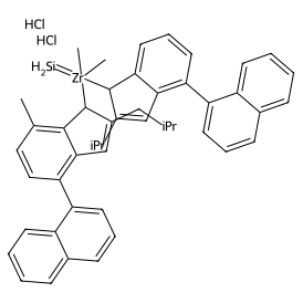 Cc1ccc(-c2cccc3ccccc23)c2c1[CH]([Zr]([CH3])([CH3])(=[SiH2])[CH]1C(C(C)C)=Cc3c(-c4cccc5ccccc45)cccc31)C(CC(C)C)=C2.Cl.Cl